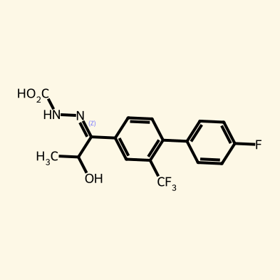 CC(O)/C(=N\NC(=O)O)c1ccc(-c2ccc(F)cc2)c(C(F)(F)F)c1